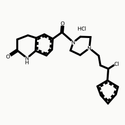 Cl.O=C1CCc2cc(C(=O)N3CCN(CCC(Cl)c4ccccc4)CC3)ccc2N1